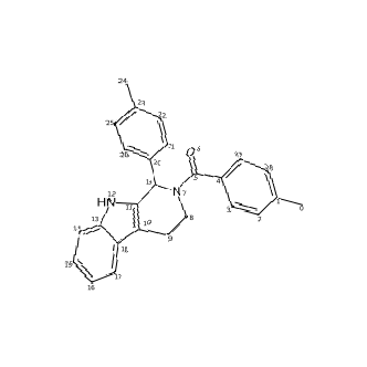 Cc1ccc(C(=O)N2CCc3c([nH]c4ccccc34)C2c2ccc(C)cc2)cc1